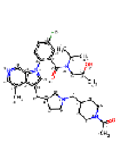 CC(=O)N1CCC(CN2CC[C@@H](Cc3cn(-c4ccc(F)cc4C(=O)N(C[C@@H](C)O)C(C)C)c4cncc(C)c34)C2)CC1